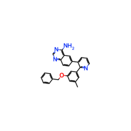 Cc1cc(OCc2ccccc2)cc(-c2ncccc2-c2ccc3ncnc(N)c3c2)c1